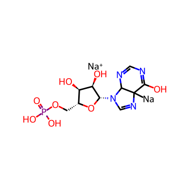 O=P(O)(O)OC[C@H]1O[C@@H](N2C=N[C]3([Na])C(O)=NC=NC23)[C@H](O)[C@@H]1O.[Na+]